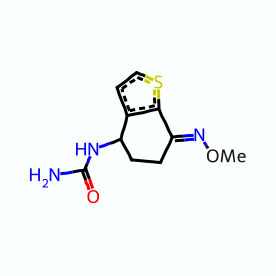 CO/N=C1\CCC(NC(N)=O)c2ccsc21